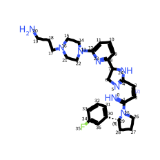 N=C(/C=C\C1=NCC(c2cccc(N3CCN(CCCN)CC3)n2)N1)N1CCC[C@@H]1c1cccc(F)c1